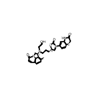 O=C1CSc2ccc(N3C[C@@H](CCCN(CCO)[C@@H]4Cn5c(=O)ccc6ccc(F)c4c65)OC3=O)cc2N1